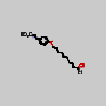 CCC(O)CCCCCCCCCOc1ccc(/C=C/C(=O)O)cc1